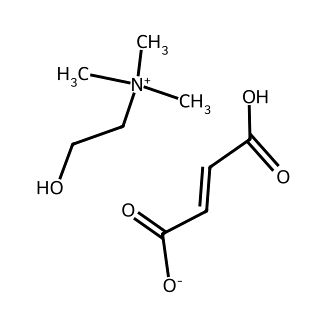 C[N+](C)(C)CCO.O=C([O-])C=CC(=O)O